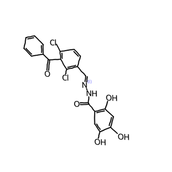 O=C(N/N=C/c1ccc(Cl)c(C(=O)c2ccccc2)c1Cl)c1cc(O)c(O)cc1O